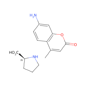 Cc1cc(=O)oc2cc(N)ccc12.O=C(O)[C@@H]1CCCN1